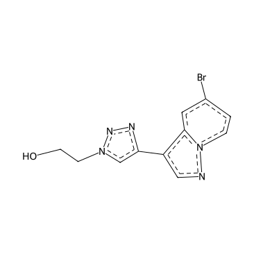 OCCn1cc(-c2cnn3ccc(Br)cc23)nn1